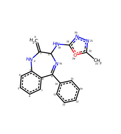 C=C1Nc2ccccc2C(c2ccccc2)=NC1Nc1nnc(C)o1